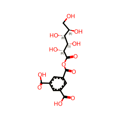 O=C(O)c1cc(C(=O)O)cc(C(=O)OC(=O)[C@H](O)[C@@H](O)[C@H](O)[C@H](O)CO)c1